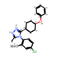 COc1cc(Cl)ccc1-n1c(C)nnc1[C@H]1CC[C@@H](Oc2ccccc2)CC1